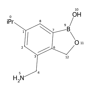 CC(C)c1cc(CN)c2c(c1)B(O)OC2